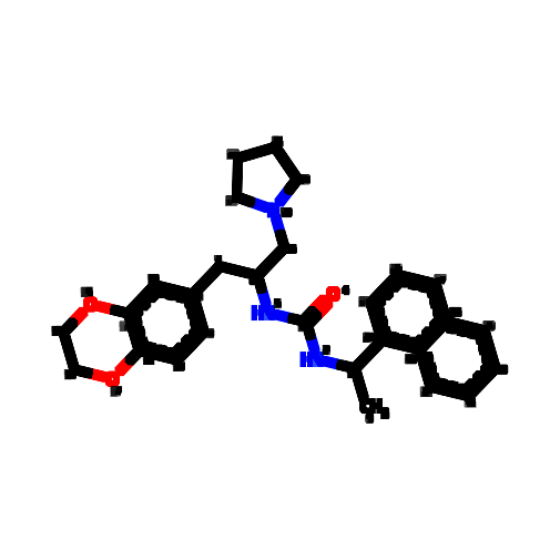 CC(NC(=O)NC(Cc1ccc2c(c1)OCCO2)CN1CCCC1)c1cccc2ccccc12